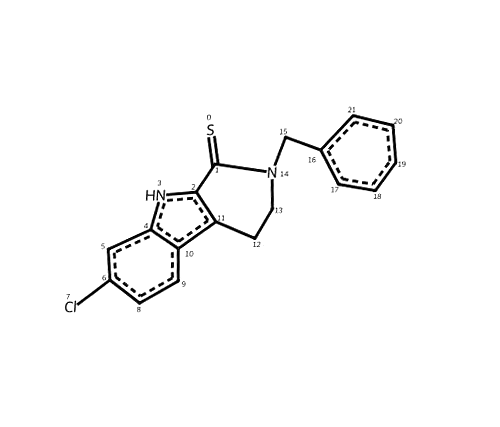 S=C1c2[nH]c3cc(Cl)ccc3c2CCN1Cc1ccccc1